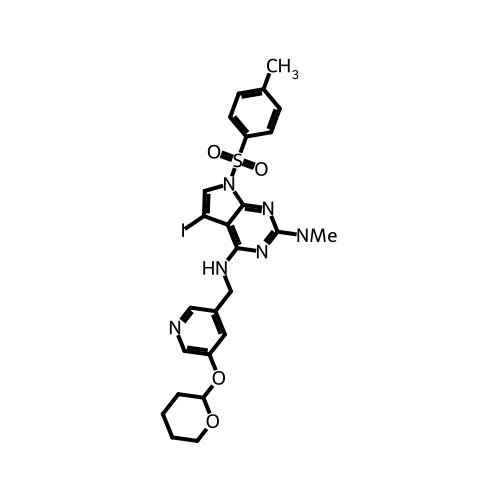 CNc1nc(NCc2cncc(OC3CCCCO3)c2)c2c(I)cn(S(=O)(=O)c3ccc(C)cc3)c2n1